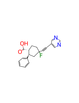 O=C(O)[C@@H]1CC[C@](F)(C#Cc2cncnc2)C[C@H]1c1ccccc1